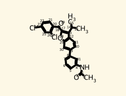 CC(=O)Nc1cccc(-c2ccc3c(C(C)C)c(C(=O)c4ccc(Cl)cc4Cl)oc3c2)c1